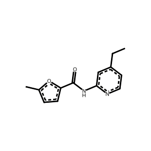 CCc1ccnc(NC(=O)c2ccc(C)o2)c1